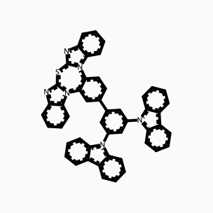 c1ccc2c(c1)nc1sc3nc4ccccc4n3c3cc(-c4cc(-n5c6ccccc6c6ccccc65)cc(-n5c6ccccc6c6ccccc65)c4)ccc3n12